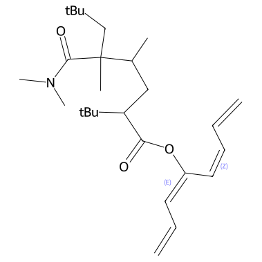 C=C/C=C\C(=C/C=C)OC(=O)C(CC(C)C(C)(CC(C)(C)C)C(=O)N(C)C)C(C)(C)C